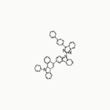 C1=C(c2ccc3c(c2)c2ccccc2n3-c2nc(-c3ccc(-c4ccccc4)cc3)c3ccccc3n2)c2ccccc2C2C1c1ccccc1N2c1ccccc1